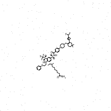 CN(CCCCCCC(N)=O)CC[C@H](CSc1ccccc1)Nc1ccc(S(=O)(=O)NC(=O)c2ccc(N3CCN(CC4=C(C56CC(C(F)F)(C5)C6)CC(C)(C)CC4)CC3)cc2)cc1S(=O)(=O)C(F)(F)F